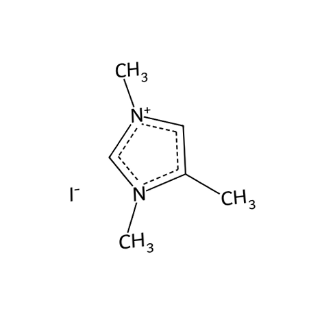 Cc1c[n+](C)cn1C.[I-]